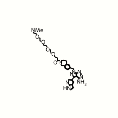 CNCCOCCOCCOCCOCCC(=O)N1CCc2cc(Cn3nc(-c4cnc5[nH]ccc5c4)c4c(N)ncnc43)ccc2C1